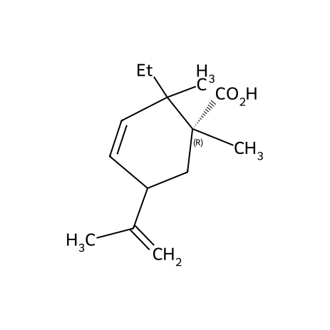 C=C(C)C1C=CC(C)(CC)[C@](C)(C(=O)O)C1